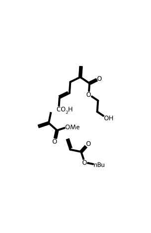 C=C(C)C(=O)OC.C=C(CC=CC(=O)O)C(=O)OCCO.C=CC(=O)OCCCC